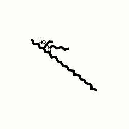 CCCCCCCCCCCCCCCCCCC(CCCC)C(O)(CC)NCCCCC